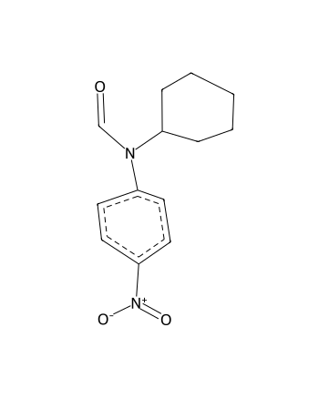 O=CN(c1ccc([N+](=O)[O-])cc1)C1CCCCC1